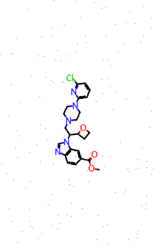 COC(=O)c1ccc2ncn(C(CN3CCN(c4cccc(Cl)n4)CC3)C3CCO3)c2c1